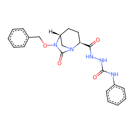 O=C(NNC(=O)[C@@H]1CC[C@@H]2CN1C(=O)N2OCc1ccccc1)Nc1ccccc1